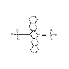 CC[Si](C#Cc1c2cc3ccccc3cc2c(C#C[Si](C(C)C)(C(C)C)C(C)C)c2cc3ccccc3cc12)(CC)CC